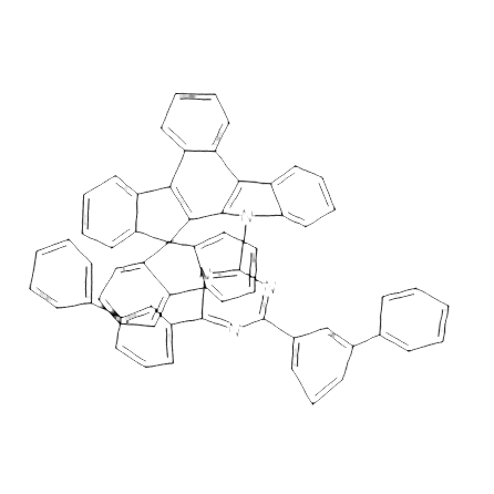 c1ccc(-c2cccc(-c3nc(-c4cccc(-c5ccccc5)c4)nc(-n4c5ccccc5c5c6ccccc6c6c(c54)C4(c5ccccc5-c5ccccc54)c4ccccc4-6)n3)c2)cc1